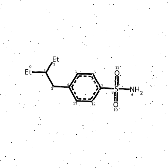 CCC(CC)Cc1ccc(S(N)(=O)=O)cc1